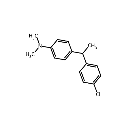 CC(c1ccc(Cl)cc1)c1ccc(N(C)C)cc1